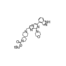 CC(C)(C)OC(=O)N1CCC2(CCN(Cc3cn4cc(-c5cccc6[nH]ncc56)nc(N5CCOCC5)c4n3)CC2)C1